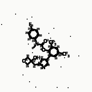 CN(C(=O)Oc1c(-c2cnn(CC3(O)COC3)c2)cc(C(F)(F)F)cc1C(F)(F)F)c1ccc(F)cc1